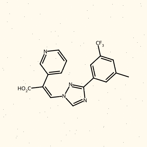 Cc1cc(-c2ncn(C=C(C(=O)O)c3cccnc3)n2)cc(C(F)(F)F)c1